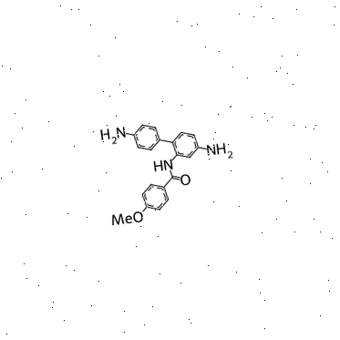 COc1ccc(C(=O)Nc2cc(N)ccc2-c2ccc(N)cc2)cc1